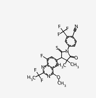 COc1nc(C(C)(F)F)nc2c(F)cc(C3C(=S)N(c4ccc(C#N)c(C(F)(F)F)c4)C(=O)C3(C)C)cc12